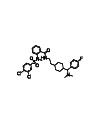 CN(C)C(c1ccc(F)cc1)C1CCC(CCNC(=O)c2ccccc2N(C)S(=O)(=O)c2ccc(Cl)c(Cl)c2)CC1